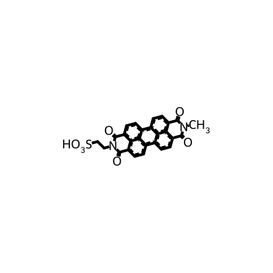 CN1C(=O)c2ccc3c4ccc5c6c(ccc(c7ccc(c2c37)C1=O)c64)C(=O)N(CCS(=O)(=O)O)C5=O